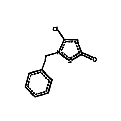 O=c1cc(Cl)n(Cc2ccccc2)s1